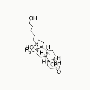 C[C@]12CCC(=O)N[C@@H]1CC[C@@H]1[C@@H]2CC[C@@]2(C)[C@H]1CC[C@@]2(O)CCCCCO